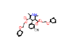 CC1=C(C(=O)OCCOc2ccccc2)C(c2cccc(C#N)c2)C(C(=O)OCCOc2ccccc2)=C(C)N1